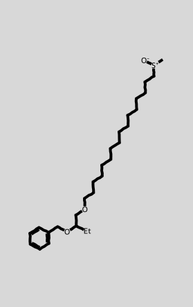 CCC(COCCCCCCCCCCCCCCCC[S+](C)[O-])OCc1ccccc1